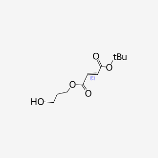 CC(C)(C)OC(=O)/C=C/C(=O)OCCCO